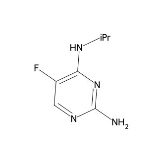 CC(C)Nc1nc(N)ncc1F